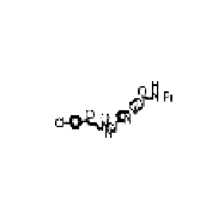 CCCNCC(=O)N1CCN(c2ccc(-n3cnn(CCCC(=O)c4ccc(Cl)cc4)c3=O)cn2)CC1